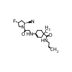 C=CCNC(=O)C1(C)CC=C(NCC(=O)N2C[C@@H](F)C[C@H]2C#N)CC1